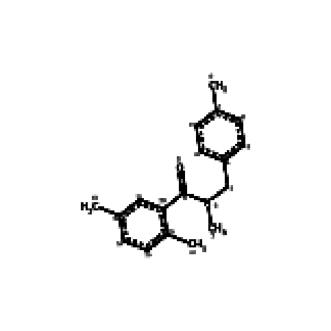 Cc1ccc(CN(C)C(=O)c2cc(C)ccc2C)cc1